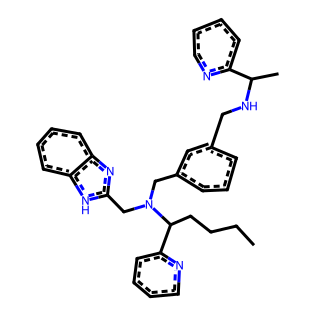 CCCCC(c1ccccn1)N(Cc1cccc(CNC(C)c2ccccn2)c1)Cc1nc2ccccc2[nH]1